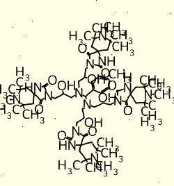 Cc1ccc(C(N(CC(O)CN2C(=O)NC3(CC(C)(C)N(C)C(C)(C)C3)C2=O)CC(O)CN2C(=O)NC3(CC(C)(C)N(C)C(C)(C)C3)C2=O)N(CC(O)CN2C(=O)NC3(CC(C)(C)N(C)C(C)(C)C3)C2=O)CC(O)CN2C(=O)NC3(CC(C)(C)N(C)C(C)(C)C3)C2=O)cc1